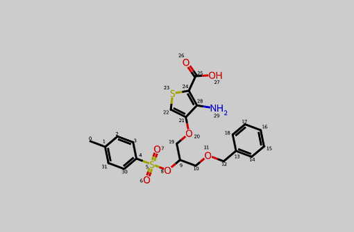 Cc1ccc(S(=O)(=O)OC(COCc2ccccc2)COc2csc(C(=O)O)c2N)cc1